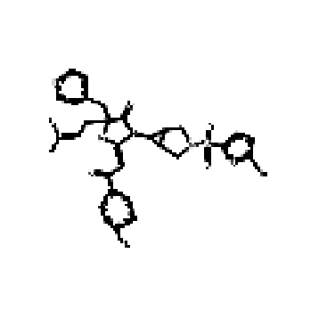 C/C(Cl)=C/CC1(Cc2ccncc2)N/C(=C\C(=O)c2ccc(C#N)cc2)N(C2C3CN(S(=O)(=O)c4ccc(Br)s4)CC32)C1=O